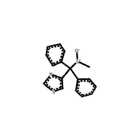 C[S+]([O-])C(c1ccccc1)(c1ccccc1)c1cscn1